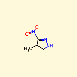 CC1CNN=C1[N+](=O)[O-]